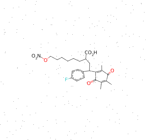 CC1=C(C)C(=O)C(C(CC(CCCCCCO[N+](=O)[O-])C(=O)O)c2ccc(F)cc2)=C(C)C1=O